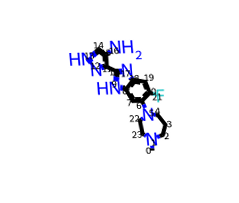 CN1CCCN(c2cc3[nH]c(-c4n[nH]cc4N)nc3cc2F)CC1